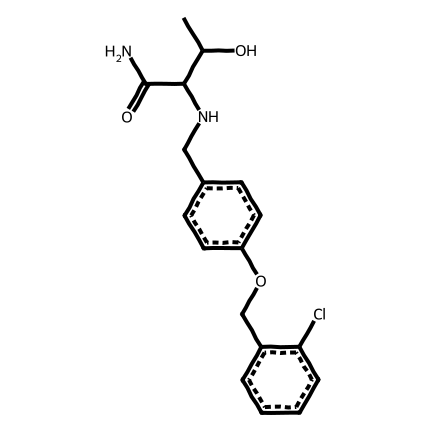 CC(O)C(NCc1ccc(OCc2ccccc2Cl)cc1)C(N)=O